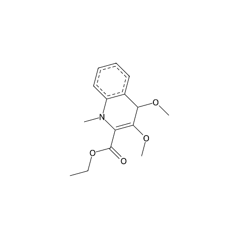 CCOC(=O)C1=C(OC)C(OC)c2ccccc2N1C